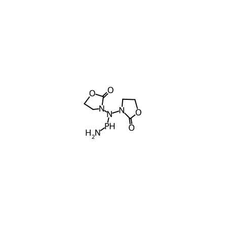 NPN(N1CCOC1=O)N1CCOC1=O